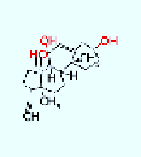 C#CC1CC[C@H]2[C@H]3[C@@H](CC[C@]12C)[C@@]1(C)CCC(O)CC1=CC3(O)O